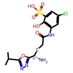 CC(C)c1nnc([C@@H](N)CCC(=O)Nc2cc(Cl)cc(S(=O)(=O)O)c2O)o1